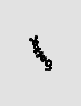 CC1(C)[C@H](NC(=O)c2cnc(N3CCCC(CO)CC3)nc2)C(C)(C)[C@H]1Oc1ccc(C#N)c(Cl)c1